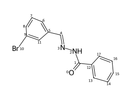 O=C(N/N=C/c1cccc(Br)c1)c1ccccc1